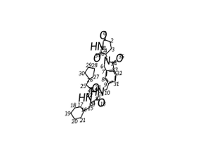 O=C1CCC(N2Cc3cc(CNC(=O)[C@H](CC4CCCCC4)NC(=O)CC4CCCC4)ccc3C2=O)C(=O)N1